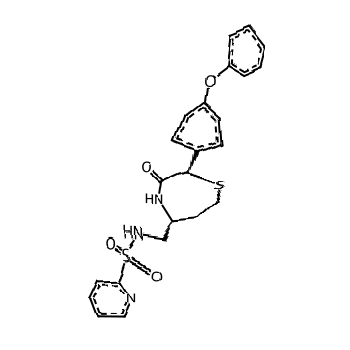 O=C1N[C@H](CNS(=O)(=O)c2ccccn2)CCS[C@@H]1c1ccc(Oc2ccccc2)cc1